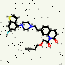 COCCOCC(=O)n1c(=O)ccc2ccc(CCN3CCN(c4cc(F)cc5sccc45)CC3)cc21